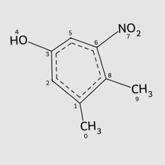 Cc1cc(O)cc([N+](=O)[O-])c1C